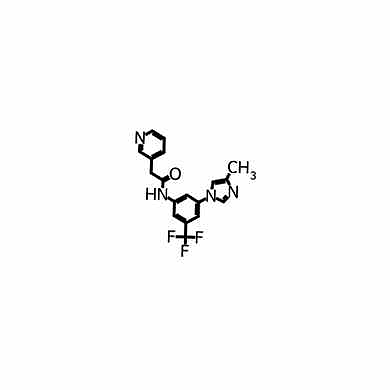 Cc1cn(-c2cc(NC(=O)Cc3cccnc3)cc(C(F)(F)F)c2)cn1